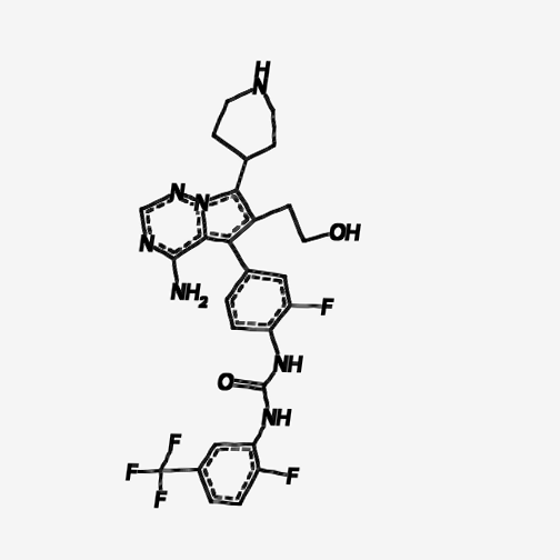 Nc1ncnn2c(C3CCNCC3)c(CCO)c(-c3ccc(NC(=O)Nc4cc(C(F)(F)F)ccc4F)c(F)c3)c12